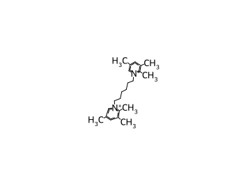 Cc1cc(C)c(C)[n+](CCCCCC[n+]2cc(C)cc(C)c2C)c1